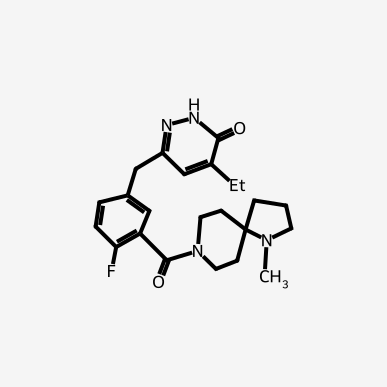 CCc1cc(Cc2ccc(F)c(C(=O)N3CCC4(CCCN4C)CC3)c2)n[nH]c1=O